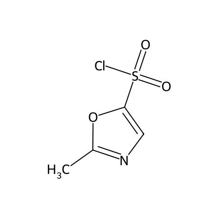 Cc1ncc(S(=O)(=O)Cl)o1